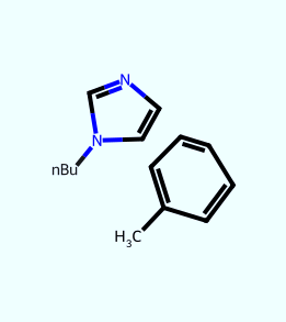 CCCCn1ccnc1.Cc1ccccc1